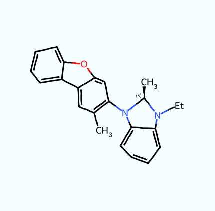 CCN1c2ccccc2N(c2cc3oc4ccccc4c3cc2C)[C@H]1C